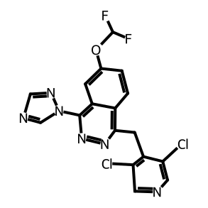 FC(F)Oc1ccc2c(Cc3c(Cl)cncc3Cl)nnc(-n3cncn3)c2c1